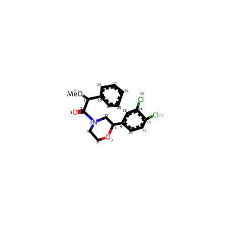 COC(C(=O)N1CCOC(c2ccc(Cl)c(Cl)c2)C1)c1ccccc1